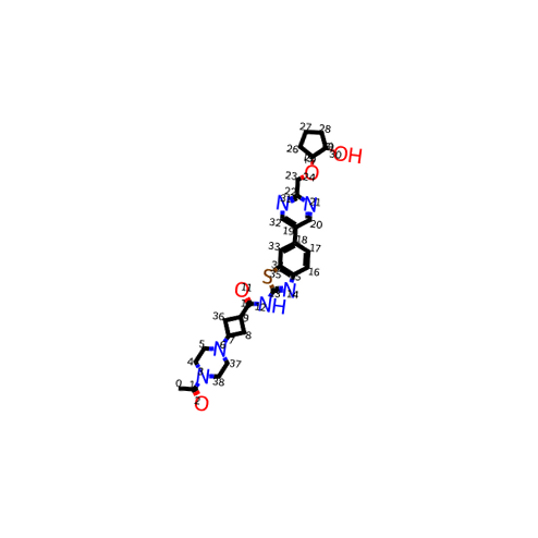 CC(=O)N1CCN(C2CC(C(=O)Nc3nc4ccc(-c5cnc(CO[C@H]6CCC[C@@H]6O)nc5)cc4s3)C2)CC1